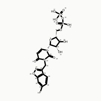 O=c1ccn([C@@H]2O[C@H](COP(=O)(O)OP(=O)(O)O)C(O)[C@@H]2O)c(=O)n1Cc1noc2cc(F)ccc12